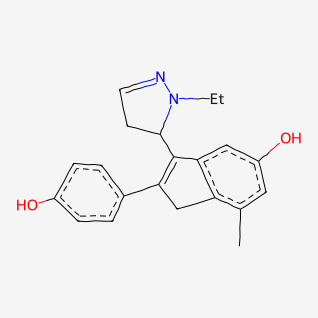 CCN1N=CCC1C1=C(c2ccc(O)cc2)Cc2c(C)cc(O)cc21